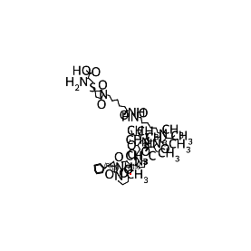 CCC(C)C(C(CC(=O)N1CCC[C@H]1C(OC)C(C)C(=O)N[C@@]1(C(=O)N2CCCCO2)C[C@@H]1c1ccccc1)OC)N(C)C(=O)C(NC(=O)C(C(C)C)N(C)CCCCCC(=O)NNC(=O)CCCCCN1C(=O)CC(SCC(N)C(=O)O)C1=O)C(C)C